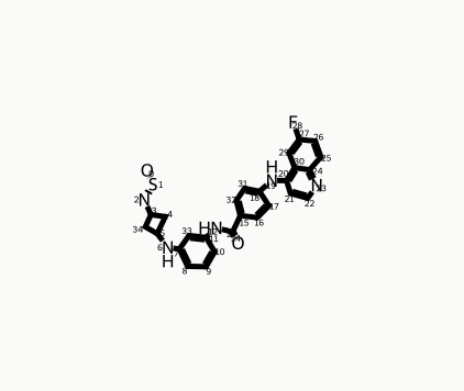 O=S=NC1CC(Nc2cccc(NC(=O)c3ccc(Nc4ccnc5ccc(F)cc45)cc3)c2)C1